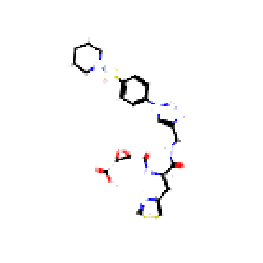 O=C(NCc1cn(-c2ccc(S(=O)(=O)N3CCCCC3)cc2)nn1)C(Cc1cscn1)NC(=O)[C@H]1O[C@@H]1C(=O)O